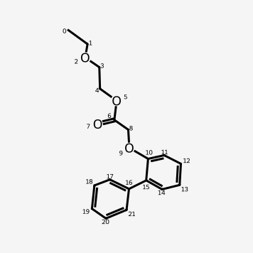 CCOCCOC(=O)COc1ccccc1-c1ccccc1